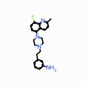 Cc1ccc2c(N3CCN(CCc4cccc(N)c4)CC3)ccc(F)c2n1